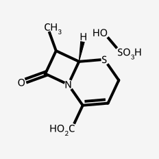 CC1C(=O)N2C(C(=O)O)=CCS[C@@H]12.O=S(=O)(O)O